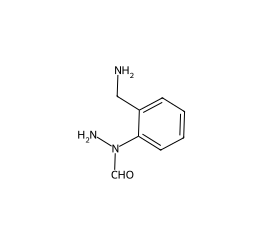 NCc1ccccc1N(N)C=O